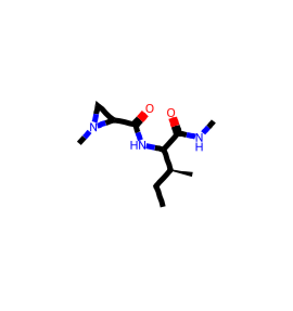 CC[C@H](C)C(NC(=O)C1CN1C)C(=O)NC